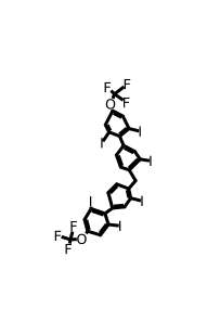 FC(F)(F)Oc1cc(I)c(-c2ccc(Cc3ccc(-c4c(I)cc(OC(F)(F)F)cc4I)cc3I)c(I)c2)c(I)c1